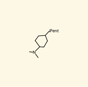 CCCC(C)C1CCC(N(C)C)CC1